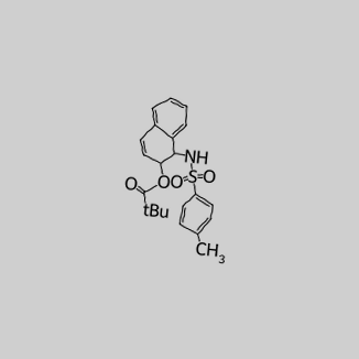 Cc1ccc(S(=O)(=O)NC2c3ccccc3C=CC2OC(=O)C(C)(C)C)cc1